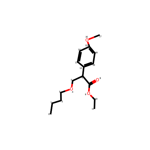 CCCCOCC(C(=O)OCC)c1ccc(OC)cc1